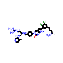 Cc1ccncc1NC[C@@H](CCNC(=N)N)NCc1ccc(-n2cc3cc(-c4cc(CCC[C@H](C)N)cc(Cl)c4F)[nH]c3nc2=O)cc1